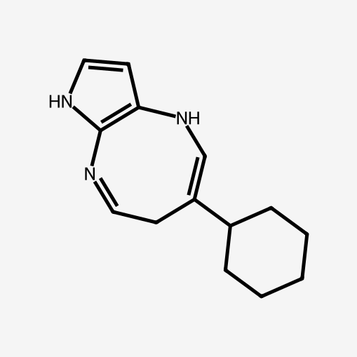 C1=C(C2CCCCC2)C/C=N\c2[nH]ccc2N1